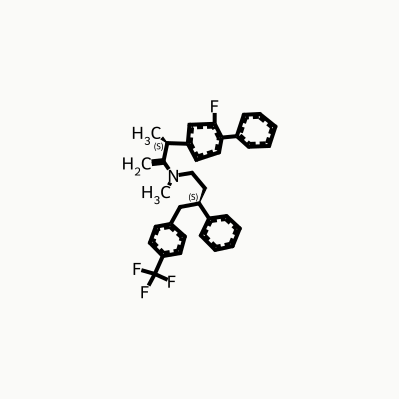 C=C([C@@H](C)c1ccc(-c2ccccc2)c(F)c1)N(C)CC[C@H](Cc1ccc(C(F)(F)F)cc1)c1ccccc1